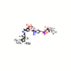 CCCC(C#N)(CCCN(C)C(C)c1ccc(OCC(=O)NN2CCC(CO[N+](=O)OC(=O)CC(O)(CC(=O)O)C(=O)[O-])CC2)c(OC)c1)c1cc(OC)c(OC)c(OC)c1.O